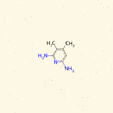 Cc1cc(N)nc(N)c1C